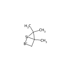 CC1(C)[Si-]2[B+]CC21C